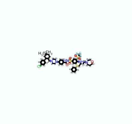 CC1(C)CCC(CN2CCN(c3ccc(C(=O)NS(=O)(=O)c4ccc(N[C@H](CCN5CCCOCC5)CSc5ccccc5)c(S(=O)(=O)C(F)(F)F)c4)cc3)CC2)=C(c2ccc(Cl)cc2)C1